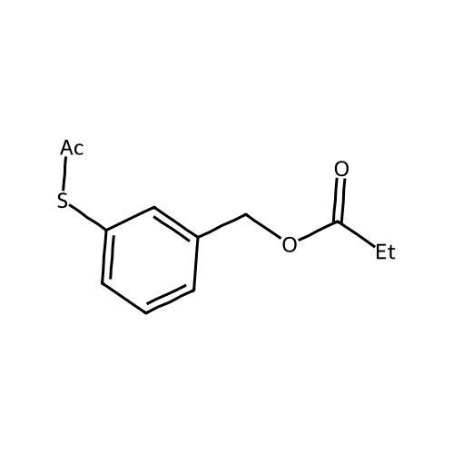 CCC(=O)OCc1cccc(SC(C)=O)c1